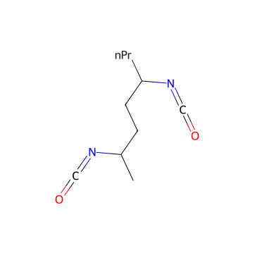 CCCC(CCC(C)N=C=O)N=C=O